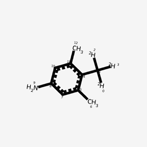 [2H]C([2H])([2H])c1c(C)cc(N)cc1C